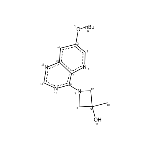 CCCCOc1cnc2c(N3CC(C)(O)C3)ncnc2c1